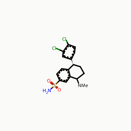 CNC1CC[C@@H](c2ccc(Cl)c(Cl)c2)c2ccc(S(N)(=O)=O)cc21